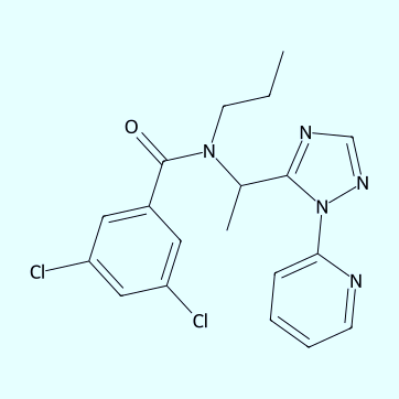 CCCN(C(=O)c1cc(Cl)cc(Cl)c1)C(C)c1ncnn1-c1ccccn1